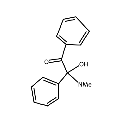 CNC(O)(C(=O)c1ccccc1)c1ccccc1